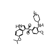 COc1ccc(S(=O)(=O)c2c[nH]c3ccc(OC(C)C)cc23)cc1NC1CCN(C)CC1